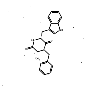 C[C@@H]1C(=O)N[C@H](Cc2c[nH]c3ccccc23)C(=O)N1Cc1ccccc1